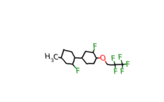 CC1CCC(C2CCC(OCC(F)(F)C(F)(F)F)C(F)C2)C(F)C1